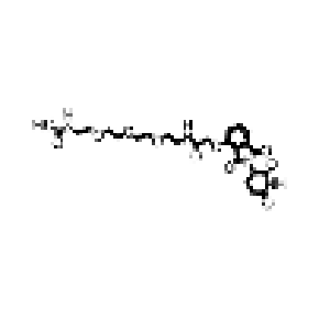 O=C(O)NCCOCCOCCOCCNC(=O)COc1cccc2c1C(=O)N(C1CCC(=O)NC1=O)C2=O